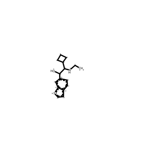 CCNC(C1CCC1)C(O)c1ccc2ccsc2c1